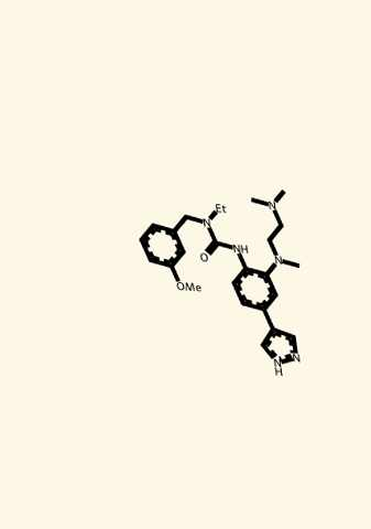 CCN(Cc1cccc(OC)c1)C(=O)Nc1ccc(-c2cn[nH]c2)cc1N(C)CCN(C)C